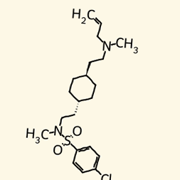 C=CCN(C)CC[C@H]1CC[C@H](CCN(C)S(=O)(=O)c2ccc(Cl)cc2)CC1